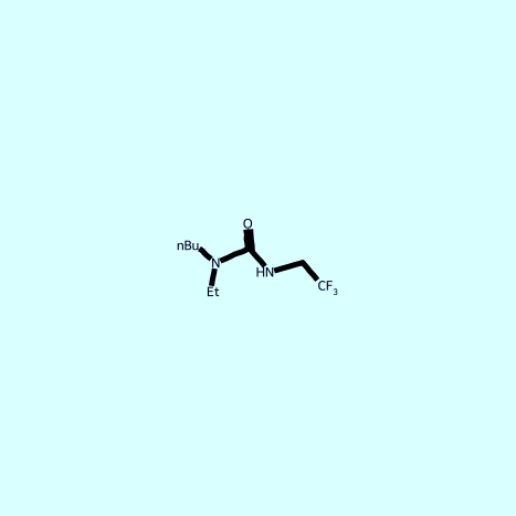 CCCCN(CC)C(=O)NCC(F)(F)F